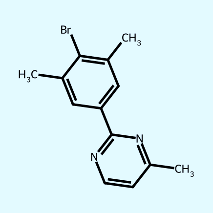 Cc1ccnc(-c2cc(C)c(Br)c(C)c2)n1